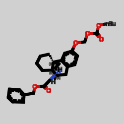 CCCCOC(=O)OCOc1ccc2c(c1)[C@]13CCCC[C@@H]1[C@H](C2)N(C(=O)OCc1ccccc1)CC3